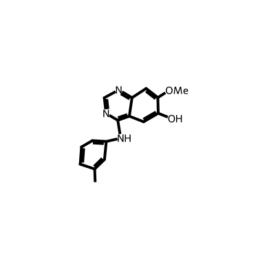 COc1cc2ncnc(Nc3cccc(C)c3)c2cc1O